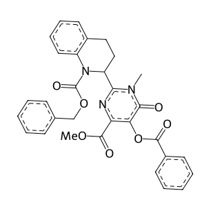 COC(=O)c1nc(C2CCc3ccccc3N2C(=O)OCc2ccccc2)n(C)c(=O)c1OC(=O)c1ccccc1